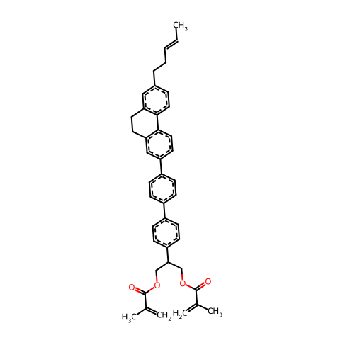 C=C(C)C(=O)OCC(COC(=O)C(=C)C)c1ccc(-c2ccc(-c3ccc4c(c3)CCc3cc(CC/C=C/C)ccc3-4)cc2)cc1